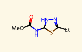 CCC1=NNC(NC(=O)OC)S1